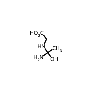 CC(N)(O)NCC(=O)O